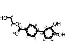 O=C(OCCO)c1ccc(-c2ccc(O)c(O)c2)cc1